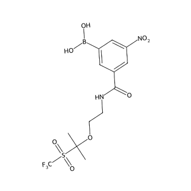 CC(C)(OCCNC(=O)c1cc(B(O)O)cc([N+](=O)[O-])c1)S(=O)(=O)C(F)(F)F